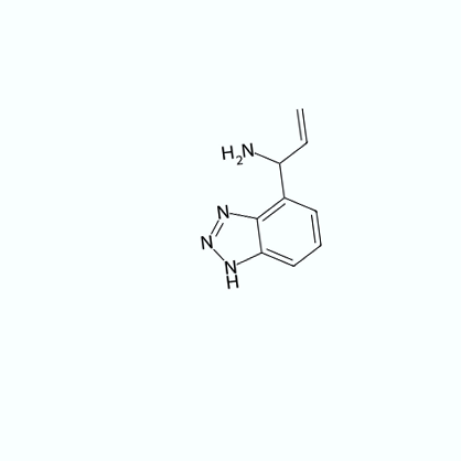 C=CC(N)c1cccc2[nH]nnc12